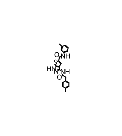 Cc1ccc(CC(=O)Nc2n[nH]c3sc(C(=O)Nc4cccc(C)c4)cc23)cc1